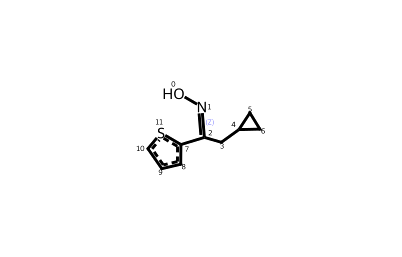 O/N=C(/CC1CC1)c1cccs1